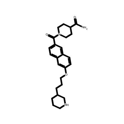 NC(=O)C1CCN(C(=O)c2ccc3cc(OCCCC4CCCNC4)ccc3c2)CC1